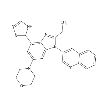 CCc1nc2c(-c3nnc[nH]3)cc(N3CCOCC3)cc2n1-c1cnc2ccccc2c1